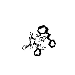 Clc1nc(Cl)nc(Nc2ccccc2Cl)n1.O=S(=O)(O)c1ccccc1/C=C/c1ccccc1